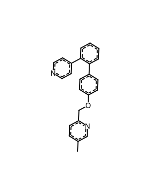 Cc1ccc(COc2ccc(-c3ccccc3-c3ccncc3)cc2)nc1